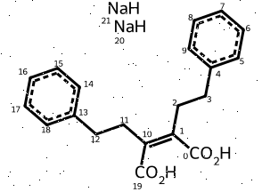 O=C(O)/C(CCc1ccccc1)=C(/CCc1ccccc1)C(=O)O.[NaH].[NaH]